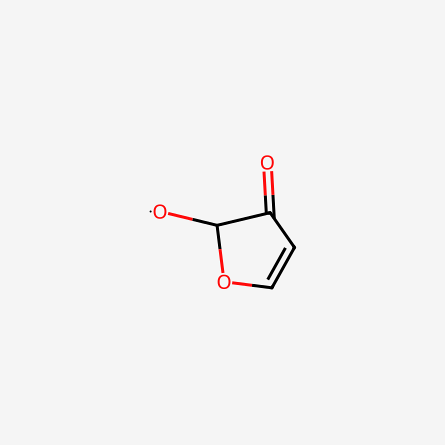 [O]C1OC=CC1=O